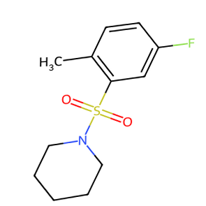 Cc1ccc(F)cc1S(=O)(=O)N1CCCCC1